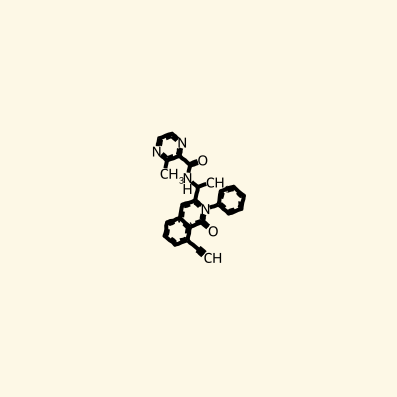 C#Cc1cccc2cc(C(C)NC(=O)c3nccnc3C)n(-c3ccccc3)c(=O)c12